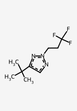 CC(C)(C)c1cnn(CCC(F)(F)F)n1